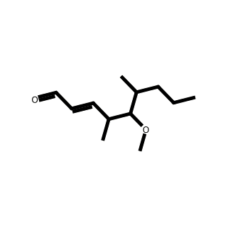 CCCC(C)C(OC)C(C)C=CC=O